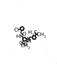 CN(C)c1cccc(Cn2ncc3c(S(C)(=O)=O)cc(NC(=O)Cc4ccccc4Cl)cc32)c1